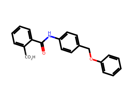 O=C(O)c1ccccc1C(=O)Nc1ccc(COc2ccccc2)cc1